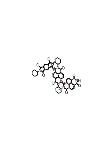 O=C1NC(=O)c2ccc3c4c(ccc1c24)C(=O)N([C@@H]1CCCC[C@H]1N1C(=O)c2ccc4c5c(ccc(c25)C1=O)C(=O)N([C@@H]1CCCC[C@H]1n1c(=O)c2cc5c(=O)n(C6CCCCC6)c(=O)c5cc2c1=O)C4=O)C3=O